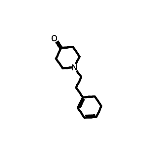 O=C1CCN(CCC2=CC=CCC2)CC1